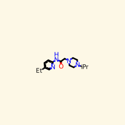 CCc1ccc(NC(=O)CN2CCN(C(C)C)CC2)nc1